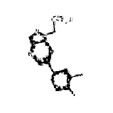 O=C(O)Cn1ncc2ncc(-c3ccc(F)c(F)c3)cc21